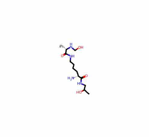 CC(O)CNC(=O)[C@H](N)CCCCNC(=O)[C@@H](NCO)C(C)C